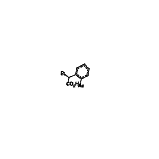 CCC(C(=O)O)c1ccccc1C(C)=O